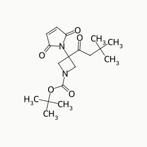 CC(C)(C)CC(=O)C1(N2C(=O)C=CC2=O)CN(C(=O)OC(C)(C)C)C1